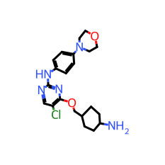 NC1CCC(COc2nc(Nc3ccc(N4CCOCC4)cc3)ncc2Cl)CC1